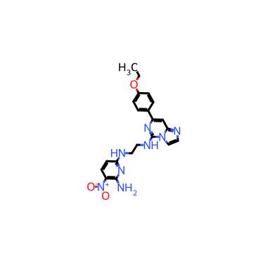 CCOc1ccc(-c2cc3nccn3c(NCCNc3ccc([N+](=O)[O-])c(N)n3)n2)cc1